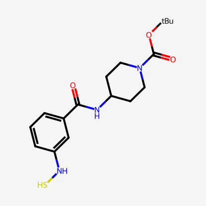 CC(C)(C)OC(=O)N1CCC(NC(=O)c2cccc(NS)c2)CC1